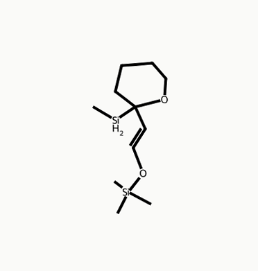 C[SiH2]C1(C=CO[Si](C)(C)C)CCCCO1